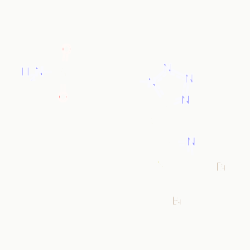 NS(=O)(=O)c1ccc(-n2nnnc2Sc2nc(Br)c(Br)s2)cc1